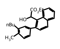 CCCCc1cc(-c2ccc3ccccc3c2C(O)C(=O)OCC)ccc1C